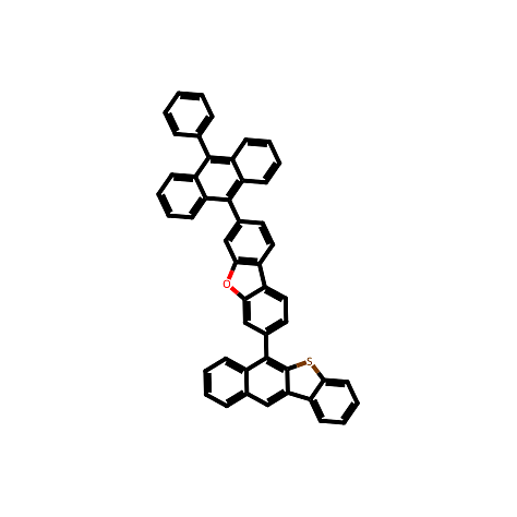 c1ccc(-c2c3ccccc3c(-c3ccc4c(c3)oc3cc(-c5c6ccccc6cc6c5sc5ccccc56)ccc34)c3ccccc23)cc1